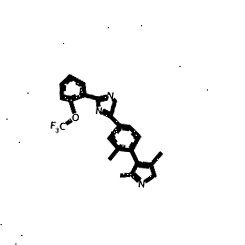 CC1=NCC(C)=C1c1ccc(C2=NC(c3ccccc3OC(F)(F)F)=NC2)cc1C